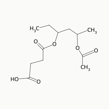 CCC(CC(C)OC(C)=O)OC(=O)CCC(=O)O